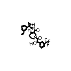 C=Cc1cccc(C2(c3nc4c(c(=O)[nH]3)CN(C(=O)[C@H](O)c3cccc(C(F)(F)F)c3)CCC4)CC2)c1